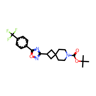 CC(C)(C)OC(=O)N1CCC2(CC1)CC(c1noc(-c3ccc(C(F)(F)F)cc3)n1)C2